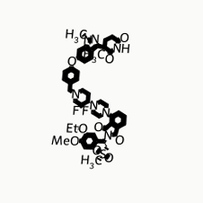 CCOc1cc([C@@H](CS(C)(=O)=O)N2C(=O)c3cccc(N4CCN([C@H]5CCN(Cc6ccc(Oc7ccc8c([C@]9(C)CCC(=O)NC9=O)nn(C)c8c7)cc6)CC5(F)F)CC4)c3C2=O)ccc1OC